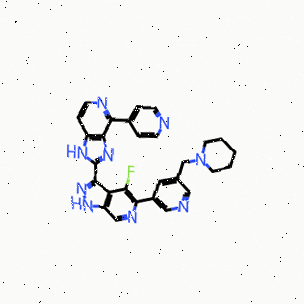 Fc1c(-c2cncc(CN3CCCCC3)c2)ncc2[nH]nc(-c3nc4c(-c5ccncc5)nccc4[nH]3)c12